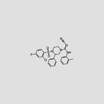 Cc1ccccc1N/C(=N/C#N)N1CCN(S(=O)(=O)c2ccc(F)cc2Cl)C(c2ccccc2)C1